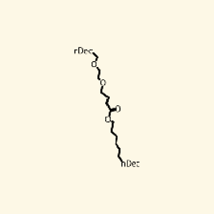 CCCCCCCCCCCCCCCCOC(=O)CCCOCCOCCCCCCCCCCC